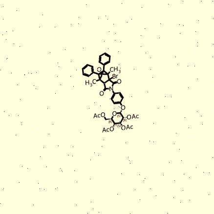 CC(=O)OC[C@H]1O[C@@H](Oc2ccc(N3C(=O)C4C5(C)C(=O)C(C)(C(c6ccccc6)=C5c5ccccc5)C4(Br)C3=O)cc2)[C@H](OC(C)=O)[C@@H](OC(C)=O)[C@@H]1OC(C)=O